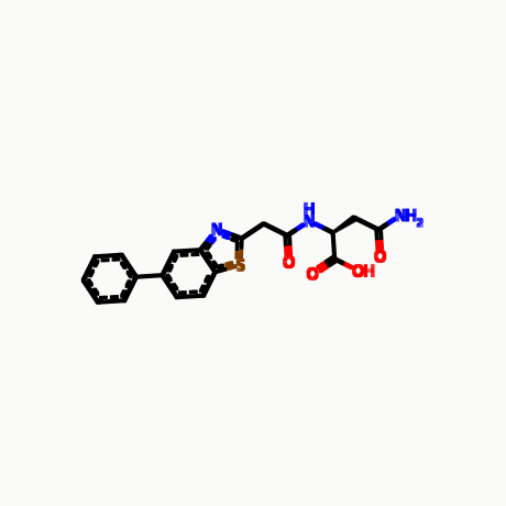 NC(=O)C[C@H](NC(=O)Cc1nc2cc(-c3ccccc3)ccc2s1)C(=O)O